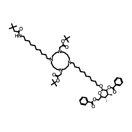 C[C@@H]1C(COC(=O)c2ccccc2)O[C@@H](OCCCCCCCCCCN2CCCN(CC(=O)OC(C)(C)C)CCN(CCCCCCCCCCNC(=O)CC(C)(C)C)CCCN(CC(=O)OC(C)(C)C)CC2)C(OC(=O)c2ccccc2)[C@H]1C